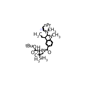 C=CC1c2cc(C(=O)NC[C@](C)([SiH3])NC(=O)OC(C)(C)C)ccc2N(C)C1N(C)/C=C\CCC